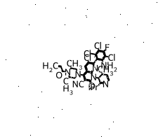 C=CC(=O)N1[C@H](C)CN(c2c(C#N)c(=O)n(C3C(C(C)C)=NC=C[C@H]3C)c3nc(-c4c(N)c(Cl)c(F)c(Cl)c4Cl)c(Cl)cc23)C[C@@H]1C